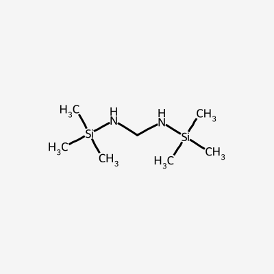 C[Si](C)(C)NCN[Si](C)(C)C